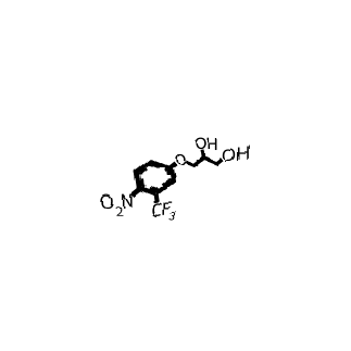 O=[N+]([O-])c1ccc(OCC(O)CO)cc1C(F)(F)F